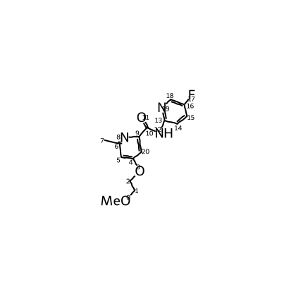 COCCOc1cc(C)nc(C(=O)Nc2ccc(F)cn2)c1